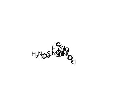 Nc1cc2sc(CNC(=O)Cn3c(-c4cccs4)nc4c(c3=O)N[C@H](c3ccc(Cl)cc3)CO4)cc2cn1